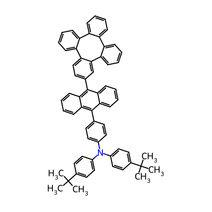 CC(C)(C)c1ccc(N(c2ccc(-c3c4ccccc4c(-c4ccc5c(c4)-c4ccccc4-c4ccccc4-c4ccccc4-5)c4ccccc34)cc2)c2ccc(C(C)(C)C)cc2)cc1